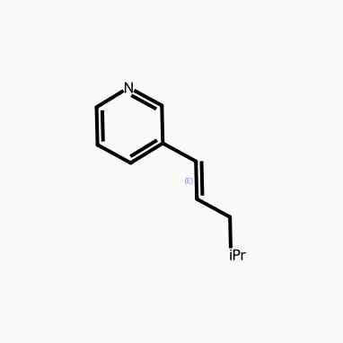 CC(C)C/C=C/c1cccnc1